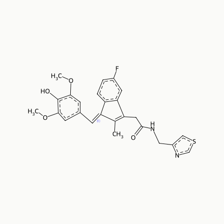 COc1cc(/C=C2/C(C)=C(CC(=O)NCc3cscn3)c3cc(F)ccc32)cc(OC)c1O